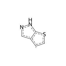 [c]1csc2[nH]ncc12